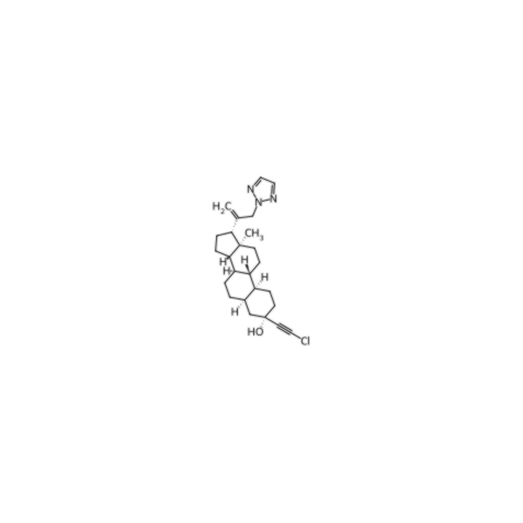 C=C(Cn1nccn1)[C@H]1CC[C@H]2[C@@H]3CC[C@@H]4C[C@](O)(C#CCl)CC[C@@H]4[C@H]3CC[C@]12C